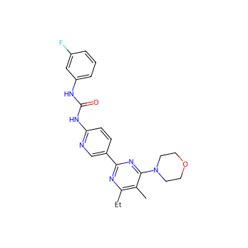 CCc1nc(-c2ccc(NC(=O)Nc3cccc(F)c3)nc2)nc(N2CCOCC2)c1C